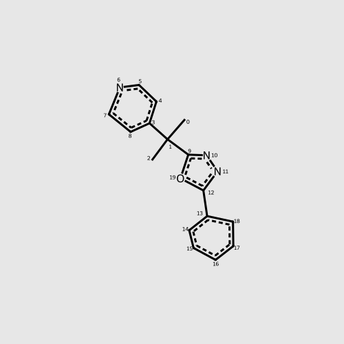 CC(C)(c1ccncc1)c1nnc(-c2ccccc2)o1